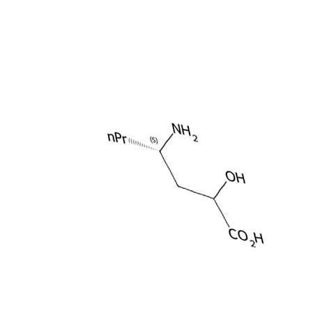 CCC[C@H](N)CC(O)C(=O)O